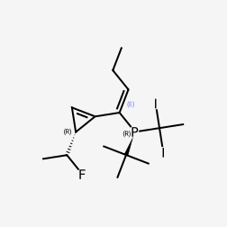 CC/C=C(\C1=C[C@H]1C(C)F)[P@](C(C)(C)C)C(C)(I)I